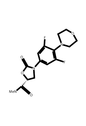 CNC(=O)[C@H]1CN(c2cc(F)c(N3CCOCC3)c(F)c2)C(=O)O1